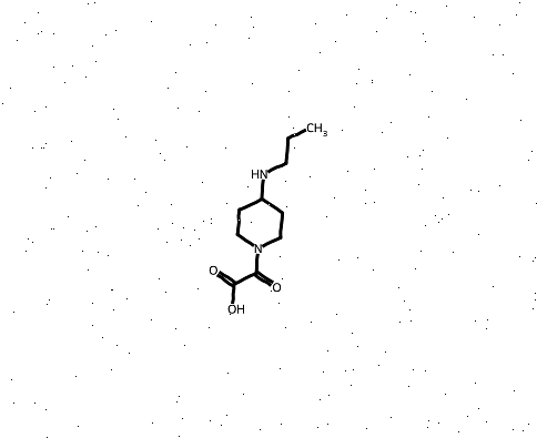 CCCNC1CCN(C(=O)C(=O)O)CC1